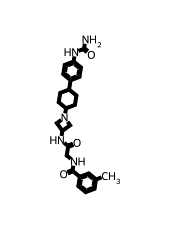 Cc1cccc(C(=O)NCC(=O)NC2CN(C3CCC(c4ccc(NC(N)=O)cc4)CC3)C2)c1